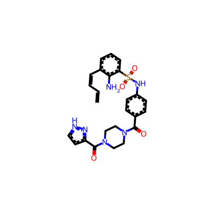 C=C/C=C\c1cccc(S(=O)(=O)Nc2ccc(C(=O)N3CCN(C(=O)c4cc[nH]n4)CC3)cc2)c1N